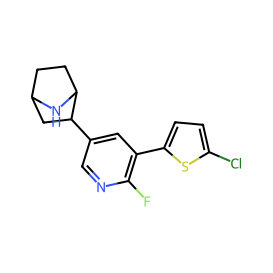 Fc1ncc(C2CC3CCC2N3)cc1-c1ccc(Cl)s1